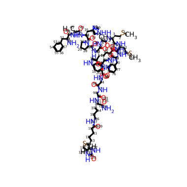 CSCC[C@H](NC(=O)[C@H](C)NC(=O)[C@H](Cc1c[nH]c2ccccc12)NC(=O)[C@@H]1CCCN1C(=O)[C@H](Cc1c[nH]cn1)NC(=O)[C@H](C)NC(=O)[C@@H](N)Cc1ccccc1)C(=O)N[C@@H](CCSC)C(=O)N[C@@H](Cc1ccc(O)cc1)C(=O)N[C@@H](CCCCN)C(=O)NCC(=O)NCC(=O)NCC(=O)N[C@@H](CCCCNC(=O)CCCC[C@@H]1SC[C@@H]2NC(=O)N[C@@H]21)C(N)=O